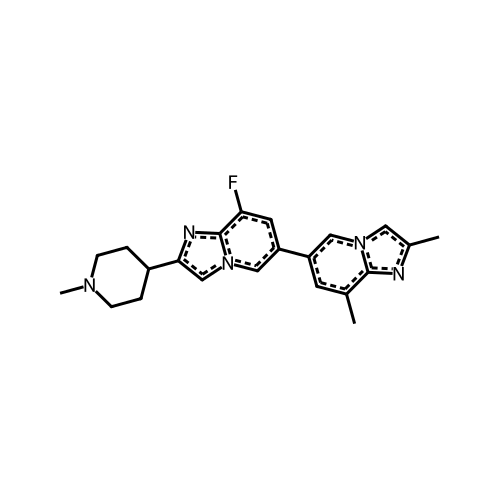 Cc1cn2cc(-c3cc(F)c4nc(C5CCN(C)CC5)cn4c3)cc(C)c2n1